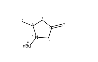 C=C1CC(C)N(CCCC)C1